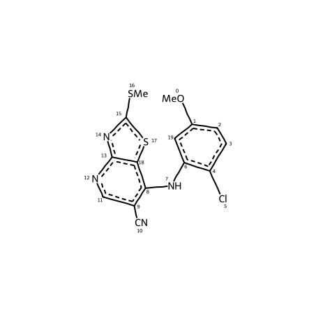 COc1ccc(Cl)c(Nc2c(C#N)cnc3nc(SC)sc23)c1